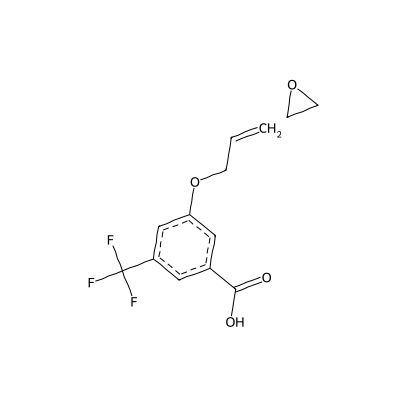 C1CO1.C=CCOc1cc(C(=O)O)cc(C(F)(F)F)c1